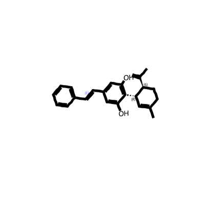 C=C(C)[C@H]1CCC(C)=C[C@@H]1c1c(O)cc(/C=C/c2ccccc2)cc1O